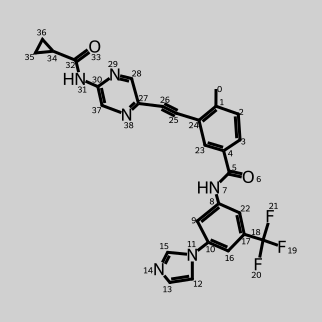 Cc1ccc(C(=O)Nc2cc(-n3ccnc3)cc(C(F)(F)F)c2)cc1C#Cc1cnc(NC(=O)C2CC2)cn1